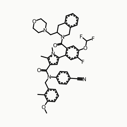 COc1cccc(CN(C(=O)c2cc(-c3cc(F)c(OC(F)F)cc3C(=O)N3Cc4ccccc4CC3CN3CCOCC3)n(C)c2C)c2ccc(C#N)cc2)c1C